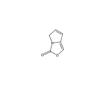 O=c1occ2n1CC=C2